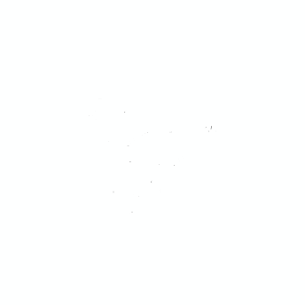 COc1ccc(C2=C(Cl)C(Cl)=CC[CH]2)c(-c2ccc(OC(F)(F)F)cc2)c1